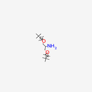 CC(C)(C)[Si](C)(C)OCC(N)CO[Si](C)(C)C(C)(C)C